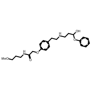 COCCCNC(=O)COc1ccc(CCNCCC(O)Oc2ccccc2)cc1